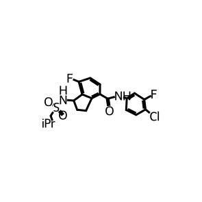 CC(C)CS(=O)(=O)NC1CCc2c(C(=O)Nc3ccc(Cl)c(F)c3)ccc(F)c21